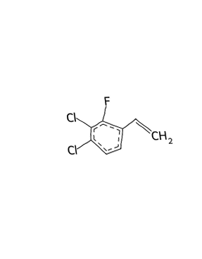 C=Cc1ccc(Cl)c(Cl)c1F